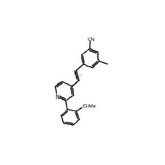 COc1ccccc1-c1cc(/C=C/c2cc(C)cc(C#N)c2)ccn1